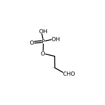 O=C[CH]COP(=O)(O)O